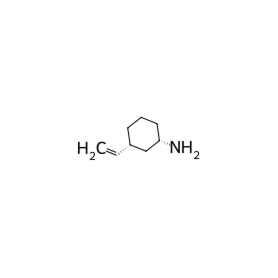 C=C[C@@H]1CCC[C@H](N)C1